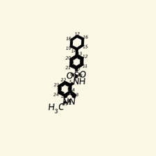 Cn1ncc2c(NS(=O)(=O)c3ccc(C4CCCCC4)cc3)cccc21